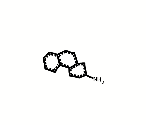 Nc1ccc2c(ccc3ccccc32)c1